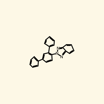 c1ccc(-c2ccc(-n3nc4ccccc4n3)c(-c3ccccc3)c2)cc1